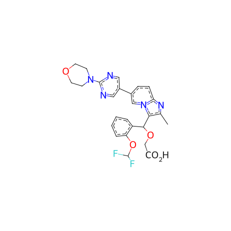 Cc1nc2ccc(-c3cnc(N4CCOCC4)nc3)cn2c1C(OCC(=O)O)c1ccccc1OC(F)F